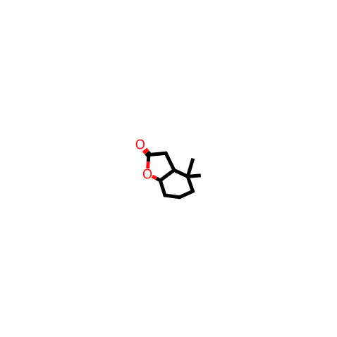 CC1(C)CCCC2OC(=O)CC21